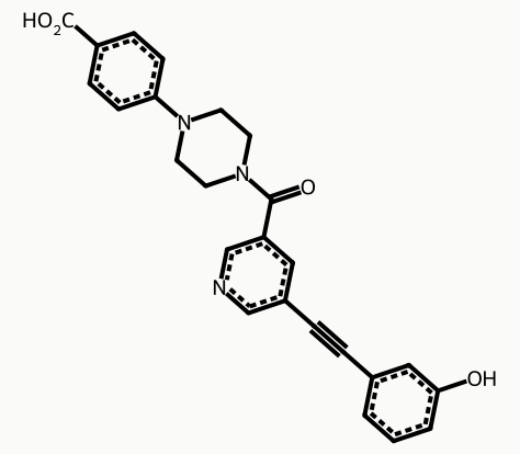 O=C(O)c1ccc(N2CCN(C(=O)c3cncc(C#Cc4cccc(O)c4)c3)CC2)cc1